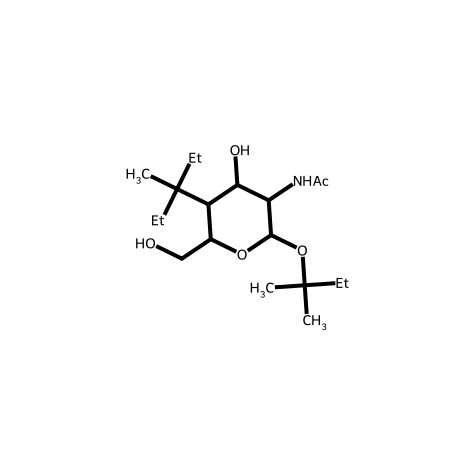 CCC(C)(C)OC1OC(CO)C(C(C)(CC)CC)C(O)C1NC(C)=O